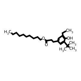 CCCCCCCCCCOC(=O)CCc1cc(CC)c(O)c(C(C)(C)C)c1